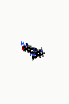 CN1CCc2cc(CC3CC3)c(NC3Cc4cc(C5COC5)c(N)cc4CN3C)cc2C1